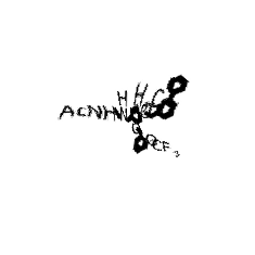 CC(=O)NCCNCc1ccc(OCc2cccc(-c3ccccc3)c2C)cc1OCc1ccccc1OC(F)(F)F